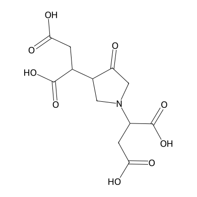 O=C(O)CC(C(=O)O)C1CN(C(CC(=O)O)C(=O)O)CC1=O